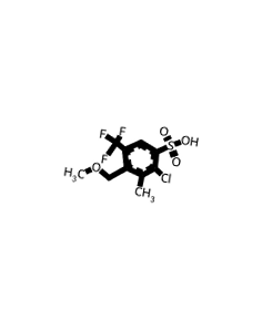 COCc1c(C(F)(F)F)cc(S(=O)(=O)O)c(Cl)c1C